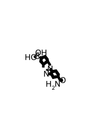 Cc1cc(B(O)O)ccc1Cn1cnc2cc(C(N)=O)ccc21